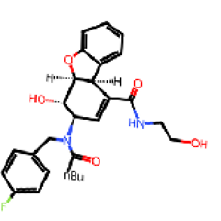 CCCCC(=O)N(Cc1ccc(F)cc1)[C@@H]1C=C(C(=O)NCCO)[C@@H]2c3ccccc3O[C@@H]2[C@H]1O